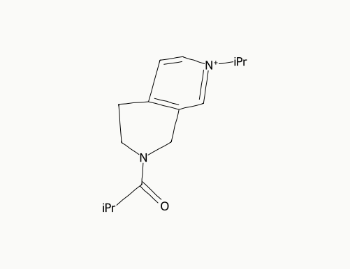 CC(C)C(=O)N1CCc2cc[n+](C(C)C)cc2C1